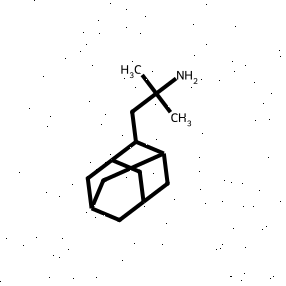 CC(C)(N)CC1C2CC3CC(C2)CC1C3